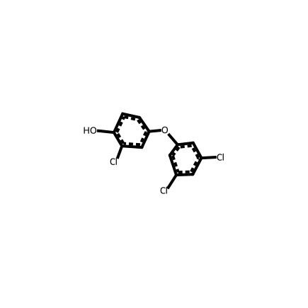 Oc1ccc(Oc2cc(Cl)cc(Cl)c2)cc1Cl